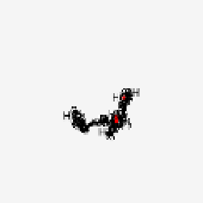 CC(C)(C)[C@H](NC(=O)c1cc2cc(C(F)(F)P(=O)(O)O)ccc2s1)C(=O)N1CCC[C@H]1C(=O)N(CCC(=O)NCCCC#Cc1cccc2c1CN(C1CCC(=O)NC1=O)C2=O)c1ccc2sccc2c1